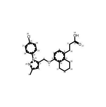 Cc1cc(COc2ccc(CCC(=O)O)c3c2CCCC3)n(-c2ccc(Cl)cc2)n1